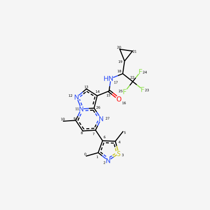 Cc1nsc(C)c1-c1cc(C)n2ncc(C(=O)NC(C3CC3)C(F)(F)F)c2n1